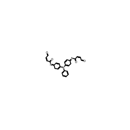 O=C/C=C\C(=O)N=C1C=CC(N(C2=CCC(=NC(=O)/C=C\C=O)C=C2)c2ccccc2)=CC1